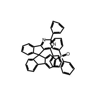 O=P(c1ccccc1)(c1ccccc1)c1ccc2c(c1)C1(c3ccccc3-2)c2ccccc2-c2nc(-c3ccccc3)nc(-c3ccccc3)c21